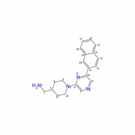 NCC1CCN(c2cncc(-c3ccc4ccccc4c3)n2)CC1